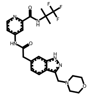 CC(C)(NC(=O)c1cc(NC(=O)Cc2ccc3c(CN4CCOCC4)n[nH]c3c2)ccn1)C(F)(F)F